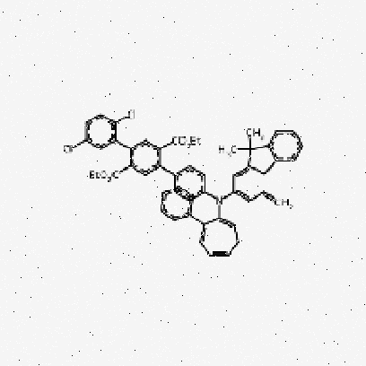 C=C/C=C(\C=C1/Cc2ccccc2C1(C)C)N(C1=CCC=CC=C1c1ccccc1)c1ccc(-c2cc(C(=O)OCC)c(-c3cc(Cl)ccc3Cl)cc2C(=O)OCC)cc1